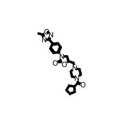 Cc1nc(-c2ccc(N3CC(CN4CCN(C(=O)C5CCCC5)CC4)OC3=O)cc2)no1